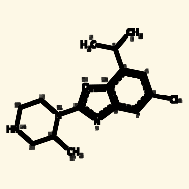 CC(C)c1cc(Cl)cc2nc(N3CCNCC3C)oc12